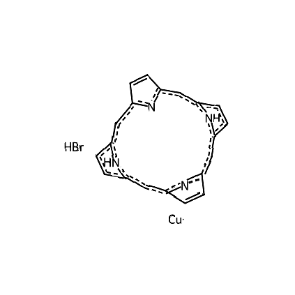 Br.C1=Cc2cc3ccc(cc4nc(cc5ccc(cc1n2)[nH]5)C=C4)[nH]3.[Cu]